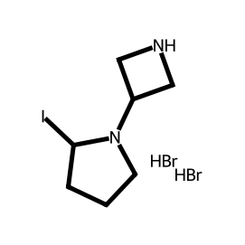 Br.Br.IC1CCCN1C1CNC1